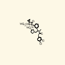 CN(C(=O)Cc1ccc(Cl)c(Cl)c1)C(CN1CC[C@H](O)C1)c1cccc(NC(=O)C2(NC(=O)O)CC2)c1